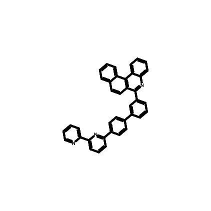 c1ccc(-c2cccc(-c3ccc(-c4cccc(-c5nc6ccccc6c6c5ccc5ccccc56)c4)cc3)n2)nc1